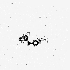 Cc1nc2cc([C@H]3C[C@@H]3c3cc(Cl)nn4ccnc34)ccc2s1